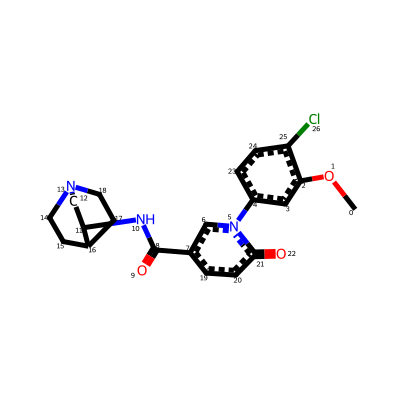 COc1cc(-n2cc(C(=O)NC3CN4CCC3CC4)ccc2=O)ccc1Cl